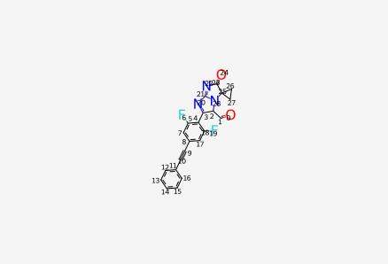 O=CC1C(c2c(F)cc(C#Cc3ccccc3)cc2F)=NC2=NC(=O)C3(CC3)N21